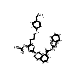 NCc1ccc(OCCCc2sc(N3CCc4cccc(C(=O)Nc5nc6ccccc6s5)c4C3)nc2OC(=O)O)cc1